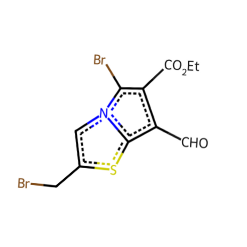 CCOC(=O)c1c(C=O)c2sc(CBr)cn2c1Br